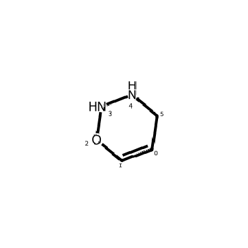 C1=CONNC1